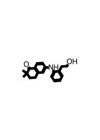 CC1(C)CCc2cc(Nc3ccccc3CCO)ccc2C1=O